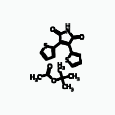 CC(=O)OC(C)(C)C.O=C1NC(=O)C(c2cccs2)=C1c1cccs1